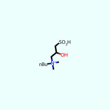 CCCC[N+](C)(C)CC(O)CS(=O)(=O)O